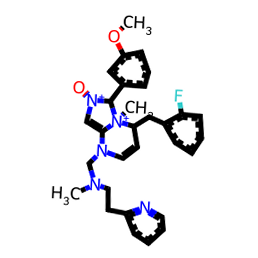 COc1cccc(C2[N+](=O)C=C3N(CN(C)CCc4ccccn4)C=CC(Cc4ccccc4F)[N+]32C)c1